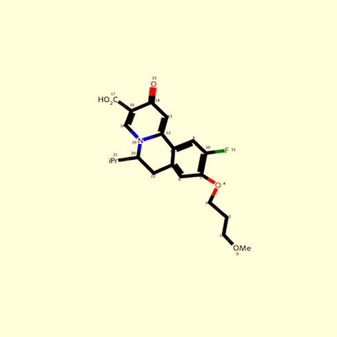 COCCCOc1cc2c(cc1F)-c1cc(=O)c(C(=O)O)cn1C(C(C)C)C2